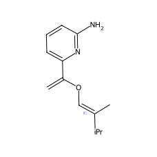 C=C(O/C=C(\C)C(C)C)c1cccc(N)n1